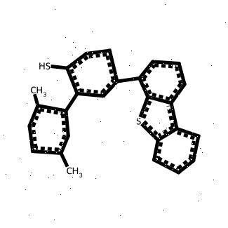 Cc1ccc(C)c(-c2cc(-c3cccc4c3sc3ccccc34)ccc2S)c1